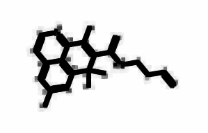 C=CCCNC(=C)C1=C(C)c2nccc3cc(C)cc(c23)C1(C)C